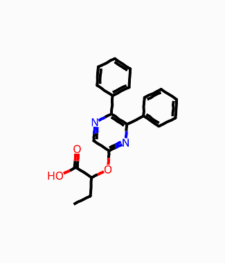 CCC(Oc1cnc(-c2ccccc2)c(-c2ccccc2)n1)C(=O)O